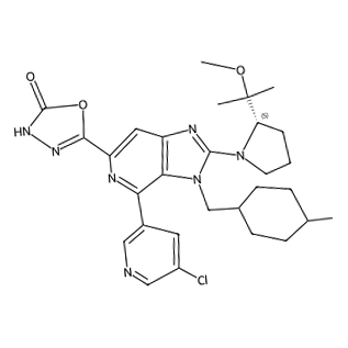 COC(C)(C)[C@@H]1CCCN1c1nc2cc(-c3n[nH]c(=O)o3)nc(-c3cncc(Cl)c3)c2n1CC1CCC(C)CC1